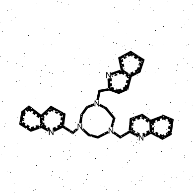 c1ccc2nc(CN3CCN(Cc4ccc5ccccc5n4)CCN(Cc4ccc5ccccc5n4)CC3)ccc2c1